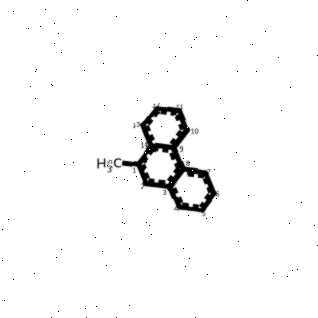 Cc1cc2ccccc2c2ccccc12